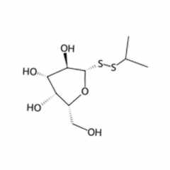 CC(C)SS[C@@H]1O[C@H](CO)[C@H](O)[C@H](O)[C@H]1O